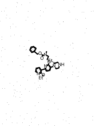 CCOc1ncccc1-c1ccc(N2CCNC[C@H]2CC)c(OCCN(C)C(=O)OCc2ccccc2)n1